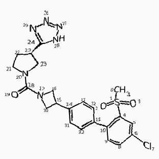 CS(=O)(=O)c1cc(Cl)ccc1-c1ccc(C2CN(C(=O)N3CC[C@@H](c4nnn[nH]4)C3)C2)cc1